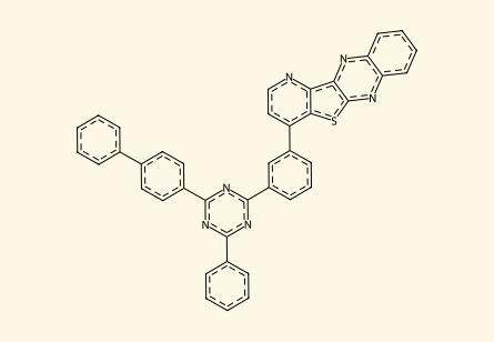 c1ccc(-c2ccc(-c3nc(-c4ccccc4)nc(-c4cccc(-c5ccnc6c5sc5nc7ccccc7nc56)c4)n3)cc2)cc1